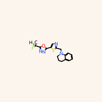 CC(F)c1nnc(-c2cnc(CN3CCCc4ccccc43)s2)o1